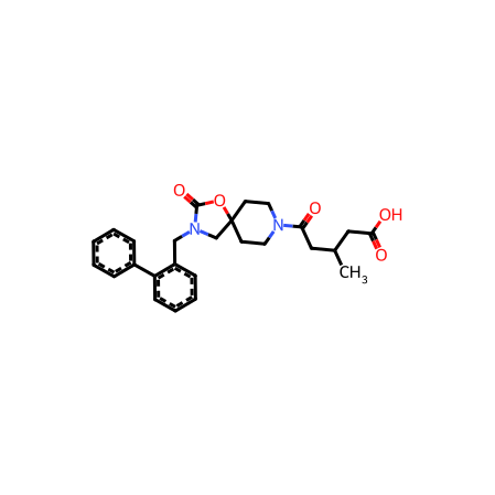 CC(CC(=O)O)CC(=O)N1CCC2(CC1)CN(Cc1ccccc1-c1ccccc1)C(=O)O2